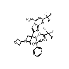 CC1N(C2COC2)CC1(c1cn2c(N)nc(C(F)(F)F)nc2n1)N(OC(=O)C(F)(F)F)S(=O)(=O)c1ccccc1